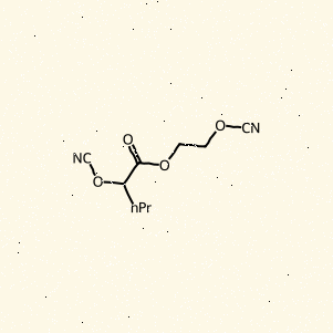 CCCC(OC#N)C(=O)OCCOC#N